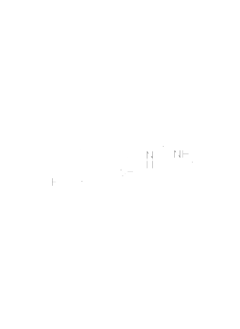 NCNCC(S)CC1CCC(F)CC1